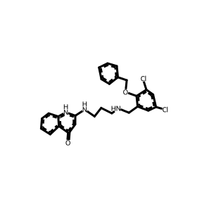 O=c1cc(NCCCNCc2cc(Cl)cc(Cl)c2OCc2ccccc2)[nH]c2ccccc12